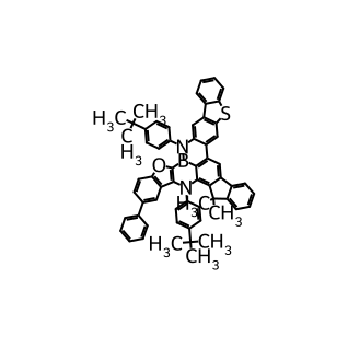 CC(C)(C)c1ccc(N2B3c4oc5ccc(-c6ccccc6)cc5c4N(c4ccc(C(C)(C)C)cc4)c4c3c(cc3c4C(C)(C)c4ccccc4-3)-c3cc4sc5ccccc5c4cc32)cc1